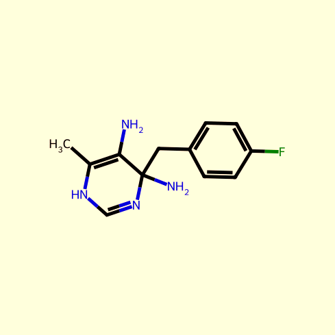 CC1=C(N)C(N)(Cc2ccc(F)cc2)N=CN1